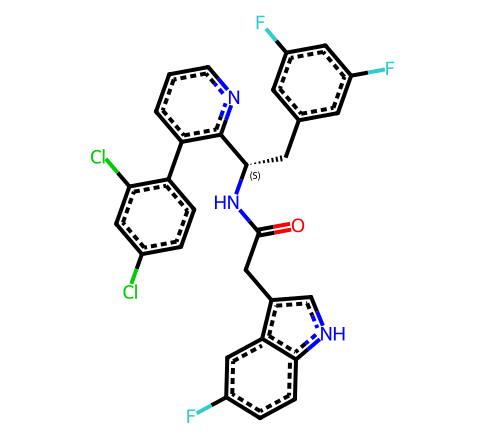 O=C(Cc1c[nH]c2ccc(F)cc12)N[C@@H](Cc1cc(F)cc(F)c1)c1ncccc1-c1ccc(Cl)cc1Cl